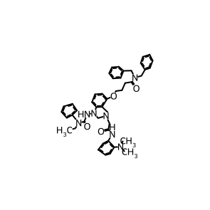 CCN(C(=O)NN1CN(CC(=O)Nc2ccccc2N(C)C)Cc2c(OCCCC(=O)N(Cc3ccccc3)Cc3ccccc3)cccc21)c1ccccc1